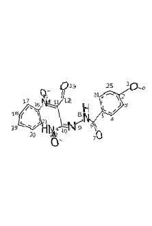 COc1ccc(C(=O)N/N=C2\C(C=O)=[N+]([O-])c3ccccc3[NH+]2[O-])cc1